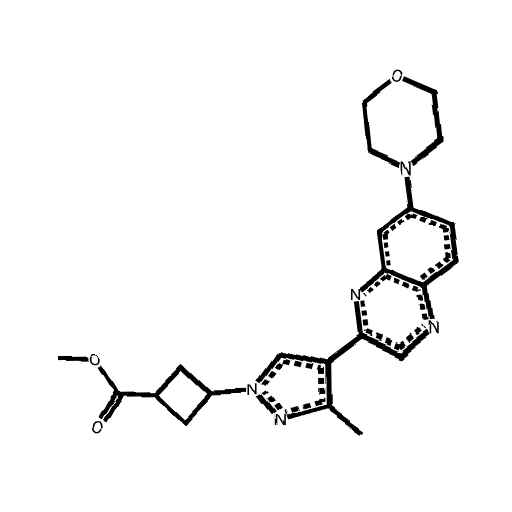 COC(=O)C1CC(n2cc(-c3cnc4ccc(N5CCOCC5)cc4n3)c(C)n2)C1